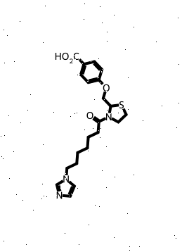 O=C(O)c1ccc(OCC2SCCN2C(=O)CCCCCCn2ccnc2)cc1